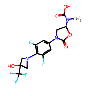 CN(C(=O)O)[C@@H]1CN(c2cc(F)c(N3CC(O)(C(F)(F)F)C3)c(F)c2)C(=O)O1